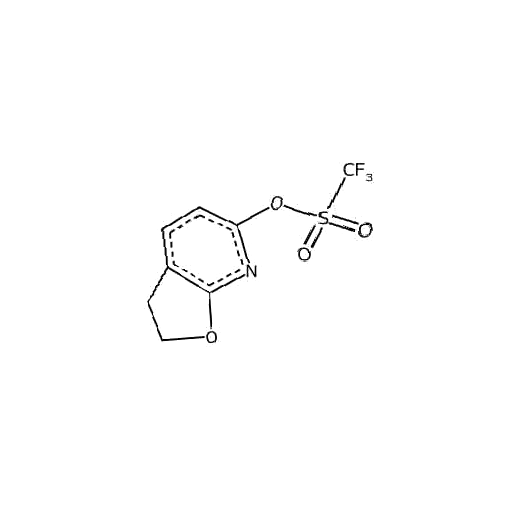 O=S(=O)(Oc1ccc2c(n1)OCC2)C(F)(F)F